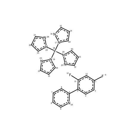 Fc1ccc(-c2ccccn2)c(F)c1.c1cn[n]([Ir]([n]2cccn2)([n]2cccn2)[n]2cccn2)c1